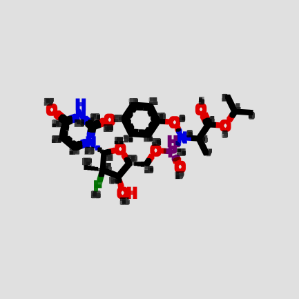 CC(C)OC(=O)C(C)N(Oc1ccccc1)[PH](=O)OC[C@H]1O[C@@H](n2ccc(=O)[nH]c2=O)[C@](C)(F)[C@@H]1O